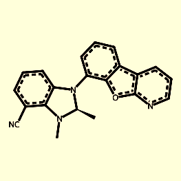 C[C@H]1N(C)c2c(C#N)cccc2N1c1cccc2c1oc1ncccc12